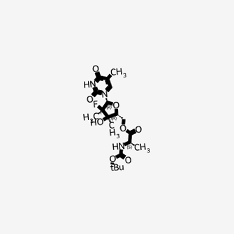 Cc1cn([C@@H]2O[C@H](COC(=O)[C@H](C)NC(=O)OC(C)(C)C)[C@@](C)(O)[C@@]2(C)F)c(=O)[nH]c1=O